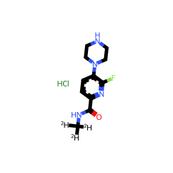 Cl.[2H]C([2H])([2H])NC(=O)c1ccc(N2CCNCC2)c(F)n1